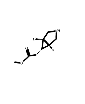 COC(=O)C[C@@H]1[C@@H]2CNC[C@@H]21